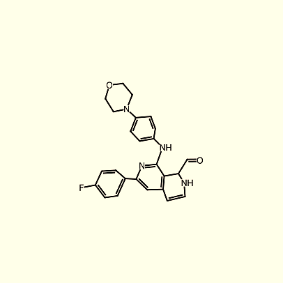 O=CC1NC=Cc2cc(-c3ccc(F)cc3)nc(Nc3ccc(N4CCOCC4)cc3)c21